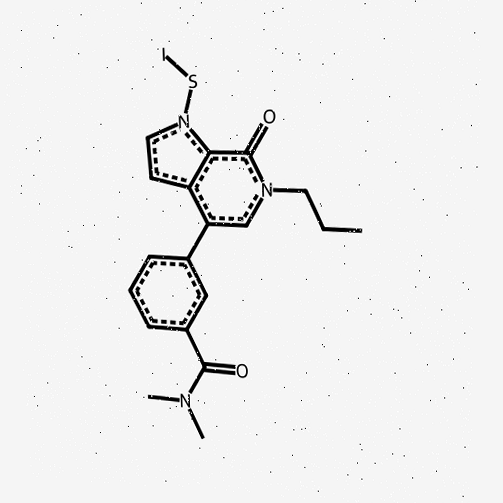 CCCn1cc(-c2cccc(C(=O)N(C)C)c2)c2ccn(SI)c2c1=O